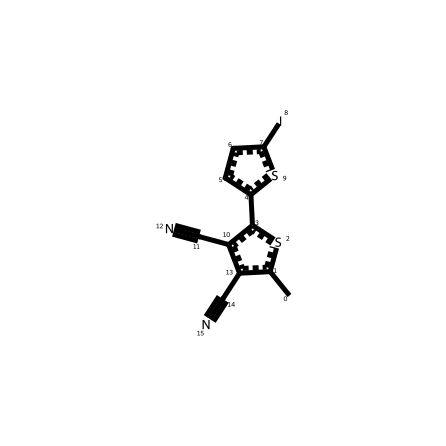 Cc1sc(-c2ccc(I)s2)c(C#N)c1C#N